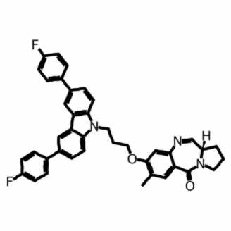 Cc1cc2c(cc1OCCCn1c3ccc(-c4ccc(F)cc4)cc3c3cc(-c4ccc(F)cc4)ccc31)N=C[C@@H]1CCCN1C2=O